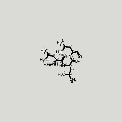 CC(C)CC(C=O)NC(=O)[C@H](CC(C)C)NC(=O)[C@H](CC(C)C)NS